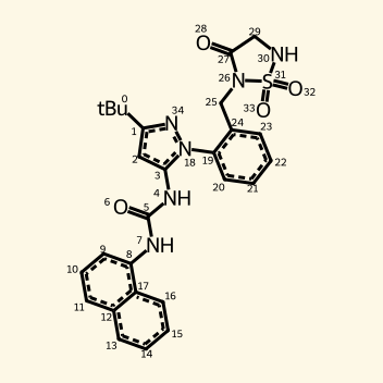 CC(C)(C)c1cc(NC(=O)Nc2cccc3ccccc23)n(-c2ccccc2CN2C(=O)CNS2(=O)=O)n1